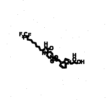 O=C1NC(CCCCCCCC(F)(F)C(F)(F)F)=NC12CCN(S(=O)(=O)C=Cc1cccc3c1ccn3CC(O)CO)CC2